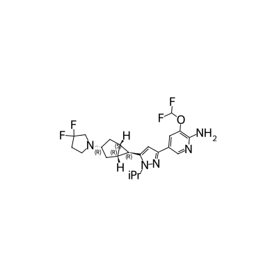 CC(C)n1nc(-c2cnc(N)c(OC(F)F)c2)cc1[C@H]1[C@@H]2C[C@H](N3CCC(F)(F)C3)C[C@@H]21